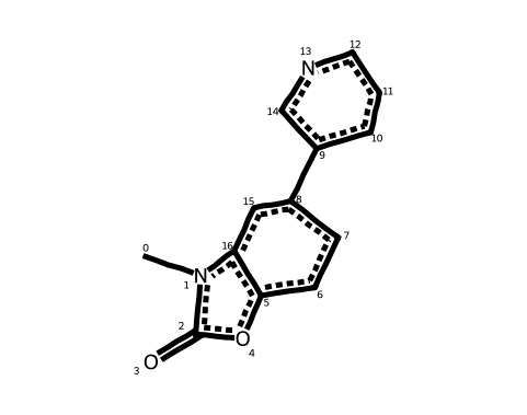 Cn1c(=O)oc2ccc(-c3cccnc3)cc21